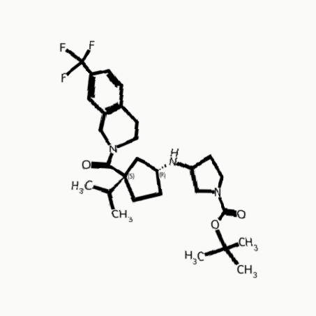 CC(C)[C@]1(C(=O)N2CCc3ccc(C(F)(F)F)cc3C2)CC[C@@H](NC2CCN(C(=O)OC(C)(C)C)C2)C1